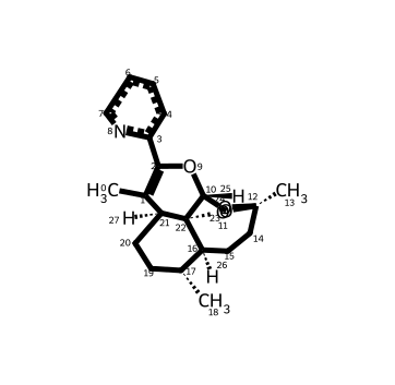 CC1=C(c2ccccn2)O[C@@H]2O[C@]3(C)CC[C@H]4[C@H](C)CC[C@@H]1[C@@]24OO3